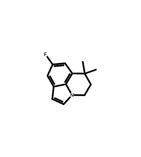 CC1(C)CCn2ccc3cc(F)cc1c32